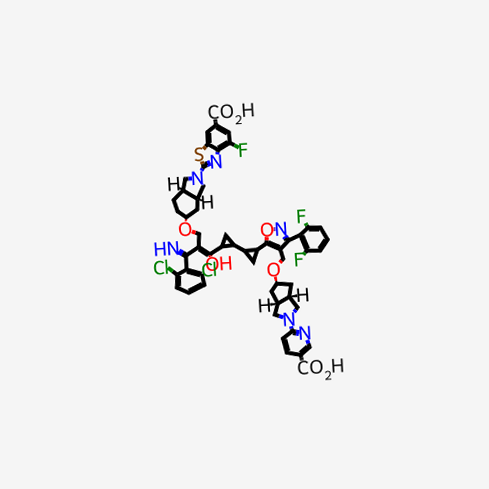 N=C(/C(CO[C@@H]1CC[C@H]2CN(c3nc4c(F)cc(C(=O)O)cc4s3)C[C@H]2C1)=C(\O)C1CC1C1CC1c1onc(-c2c(F)cccc2F)c1CO[C@H]1C[C@@H]2CN(c3ccc(C(=O)O)cn3)C[C@@H]2C1)c1c(Cl)cccc1Cl